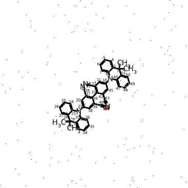 CC1(C)c2ccccc2N(c2cc(C#N)c(-c3c(C#N)cc(N4c5ccccc5C(C)(C)c5ccccc54)cc3C#N)c(C#N)c2)c2ccccc21